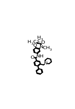 CN1C(=O)C(C)(C)Oc2ccc(NC(=O)c3ccc(-c4ccccc4)c(CN4CCCCC4)c3)cc21